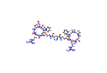 CC[C@H]1NC(=O)[C@@H](Cc2ccccc2)NC(=O)C(CCCCNC(=O)[C@@H](N)CCC(=O)NCCCC[C@H]2NC(=O)[C@H](CCCNC(=N)N)NC(=O)CNC(=O)[C@@H](CC=O)NC(=O)[C@@H](Cc3ccccc3)NC2=O)NC(=O)[C@H](CCCNC(=N)N)NC(=O)CNC1=O